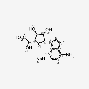 Nc1ncnc2c1ncn2[C@@H]1O[C@H](C(O)C(=O)O)[C@@H](O)[C@H]1O.[NaH]